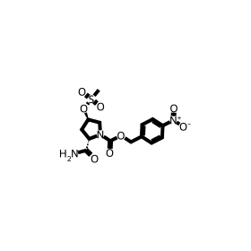 CS(=O)(=O)O[C@@H]1C[C@@H](C(N)=O)N(C(=O)OCc2ccc([N+](=O)[O-])cc2)C1